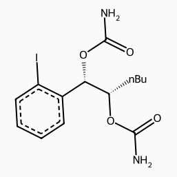 CCCC[C@H](OC(N)=O)[C@@H](OC(N)=O)c1ccccc1I